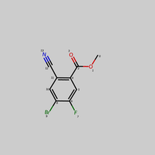 COC(=O)c1cc(F)c(Br)cc1C#N